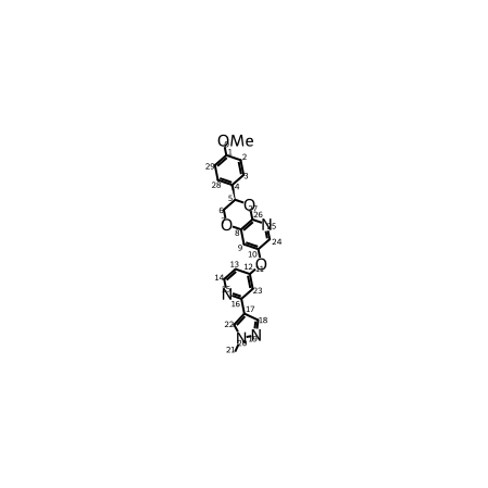 COc1ccc([C@@H]2COc3cc(Oc4ccnc(-c5cnn(C)c5)c4)cnc3O2)cc1